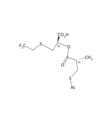 CC(=O)SC[C@@H](C)C(=O)O[C@@H](CSCC(F)(F)F)C(=O)O